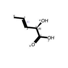 C/C=C/[C@@H](O)C(=O)O